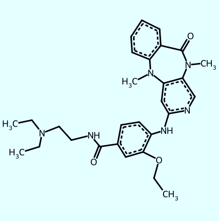 CCOc1cc(C(=O)NCCN(CC)CC)ccc1Nc1cc2c(cn1)N(C)C(=O)c1ccccc1N2C